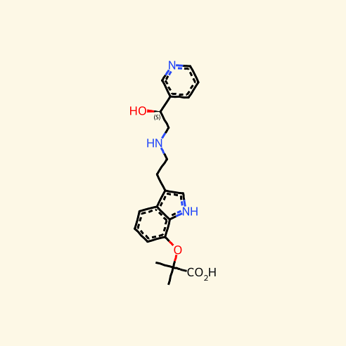 CC(C)(Oc1cccc2c(CCNC[C@@H](O)c3cccnc3)c[nH]c12)C(=O)O